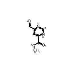 COC(=O)c1cc(C=O)ncn1